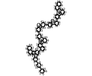 c1ccc(-c2ccc(-c3ccc4c(c3)c3cc(-c5cccc6c5ccc5c6c6cccc7c8cc(-c9ccc%10oc%11ccc(-c%12ccc%13c(c%12)oc%12c(-c%14ccc%15c(c%14)c%14cccc%16c%17c%18ccccc%18ccc%17n%15c%14%16)cccc%12%13)cc%11c%10c9)ccc8n5c76)cc5c6c7ccccc7ccc6n4c35)cc2)cc1